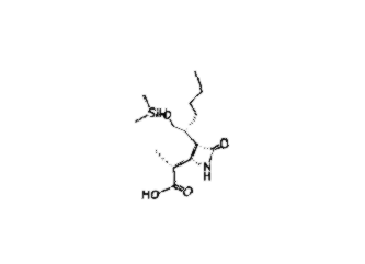 CCCC[C@@H](CO[SiH](C)C)[C@@H]1C(=O)N[C@@H]1[C@@H](C)C(=O)O